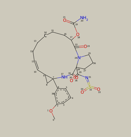 COc1cccc(C23CC2C=CCCCCCC(OC(N)=O)C(=O)N2CCCC2(C(=O)N=S(=O)=O)C(=O)N3)c1